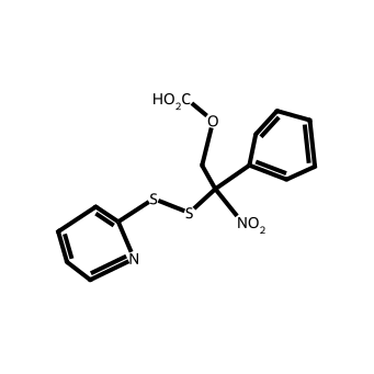 O=C(O)OCC(SSc1ccccn1)(c1ccccc1)[N+](=O)[O-]